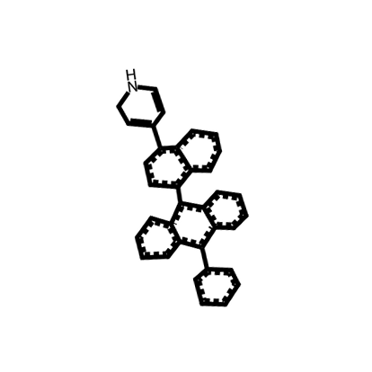 C1=CC(c2ccc(-c3c4ccccc4c(-c4ccccc4)c4ccccc34)c3ccccc23)=CCN1